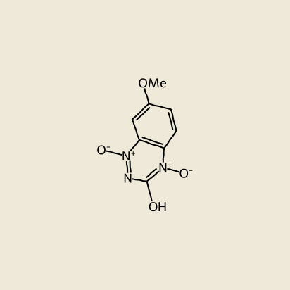 COc1ccc2c(c1)[n+]([O-])nc(O)[n+]2[O-]